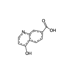 O=C(O)c1ccc2c(O)ccnc2c1